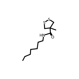 CCCCCCCNC(=O)C1(C)CSSC1